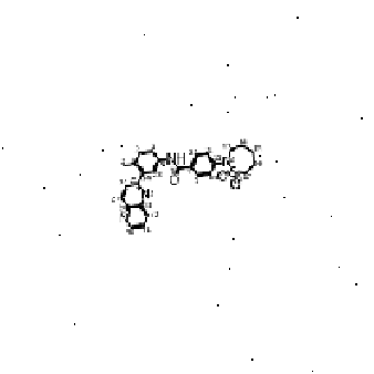 Cc1ccc(NC(=O)c2ccc(N3CCCCCS3(=O)=O)cc2)cc1-c1ccc2ncccc2n1